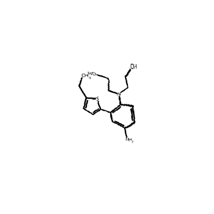 CCc1ccc(-c2cc(N)ccc2N(CCO)CCO)s1